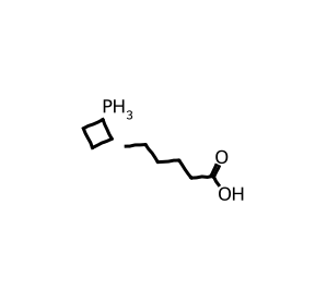 C1CCC1.CCCCCC(=O)O.P